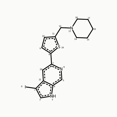 Ic1c[nH]c2cnc(-c3ccc(CN4CCCCC4)s3)cc12